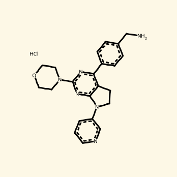 Cl.NCc1ccc(-c2nc(N3CCOCC3)nc3c2CCN3c2cccnc2)cc1